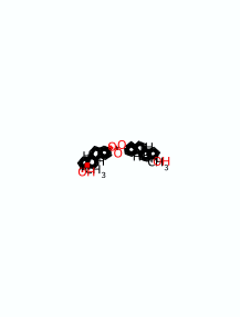 C[C@]12CC[C@@H]3c4ccc(OC(=O)Oc5ccc6c(c5)CC[C@@H]5[C@@H]6CC[C@]6(C)[C@@H](O)CC[C@@H]56)cc4CC[C@H]3[C@@H]1CC[C@@H]2O